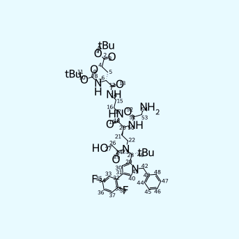 CC(C)(C)OC(=O)CC[C@@H](NC(=O)OC(C)(C)C)C(=O)NCCNC(=O)[C@H](CCN(C(=O)CO)[C@@H](c1cc(-c2cc(F)ccc2F)cn1Cc1ccccc1)C(C)(C)C)NC(=O)CN